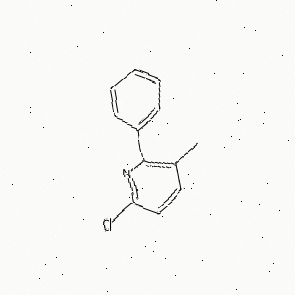 Cc1[c]cc(Cl)nc1-c1ccccc1